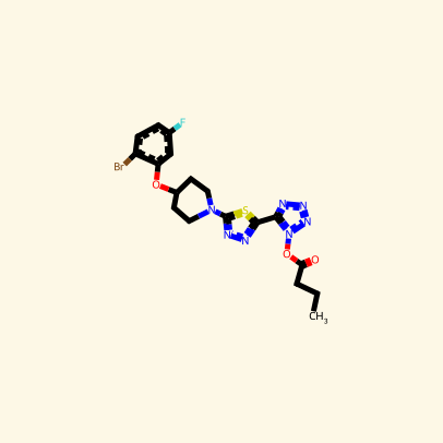 CCCC(=O)On1nnnc1-c1nnc(N2CCC(Oc3cc(F)ccc3Br)CC2)s1